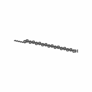 CCCCCCCCCc1ccc(OCCOCCOCCOCCOCCOCCOCCOCCOCCOCCOCCOCCOCCOCCOCCO)cc1